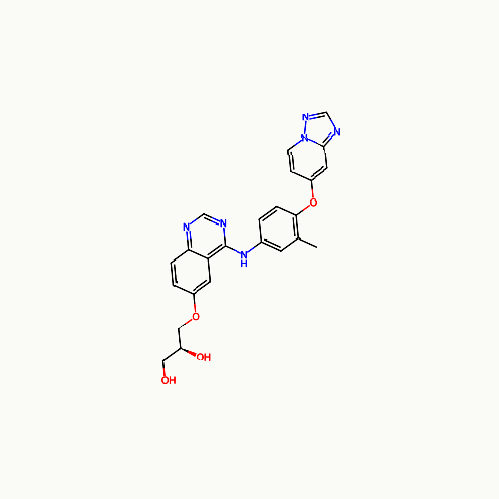 Cc1cc(Nc2ncnc3ccc(OC[C@@H](O)CO)cc23)ccc1Oc1ccn2ncnc2c1